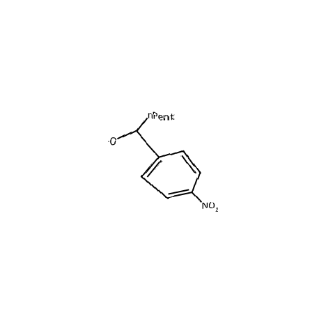 CCCCCC([O])c1ccc([N+](=O)[O-])cc1